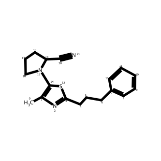 Cc1nc(CCCc2ccccc2)sc1N1CCCC1C#N